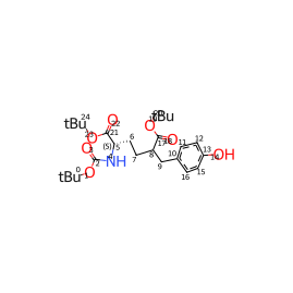 CC(C)(C)OC(=O)N[C@@H](CCC(Cc1ccc(O)cc1)C(=O)OC(C)(C)C)C(=O)OC(C)(C)C